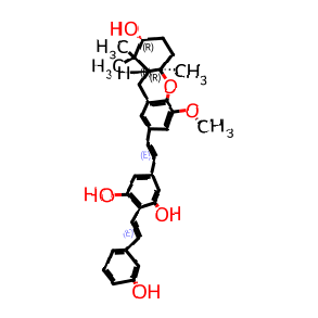 COc1cc(/C=C/c2cc(O)c(/C=C/c3cccc(O)c3)c(O)c2)cc2c1O[C@]1(C)CC[C@@H](O)C(C)(C)[C@H]1C2